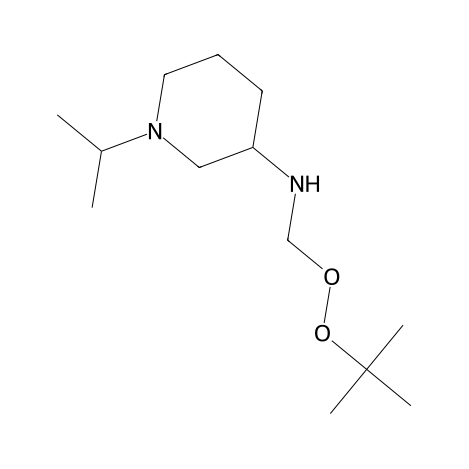 CC(C)N1CCCC(NCOOC(C)(C)C)C1